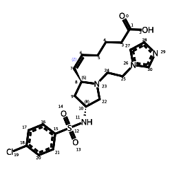 O=C(O)CCC/C=C\[C@@H]1C[C@@H](NS(=O)(=O)c2ccc(Cl)cc2)CN1CCn1ccnc1